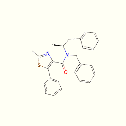 [CH2][C@@H](Cc1ccccc1)N(Cc1ccccc1)C(=O)c1nc(C)sc1-c1ccccc1